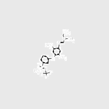 CCN(C)C=Nc1cc(C)c(Oc2cccc(S(C)(=O)=NC(F)(F)F)c2)cc1C